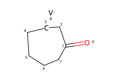 O=C1CCCCCC1.[V]